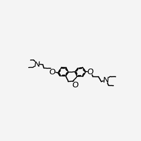 CCN(CC)CCCOc1ccc2c(c1)CC(=O)c1cc(OCCCN(CC)CC)ccc1-2